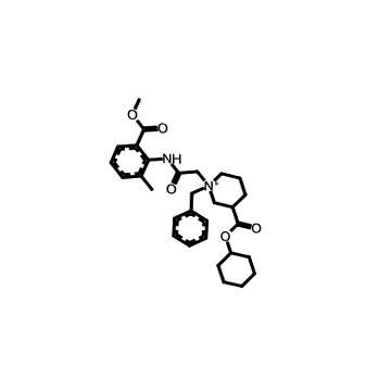 COC(=O)c1cccc(C)c1NC(=O)C[N+]1(Cc2ccccc2)CCCC(C(=O)OC2CCCCC2)C1